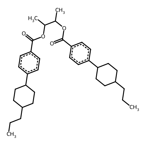 CCCC1CCC(c2ccc(C(=O)OC(C)C(C)OC(=O)c3ccc(C4CCC(CCC)CC4)cc3)cc2)CC1